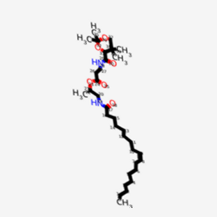 CCCCCCCC/C=C\CCCCCCCC(=O)NC[C@@H](C)OC(=O)CCNC(=O)C1OC(C)(C)OCC1(C)C